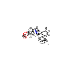 FC(F)(F)c1ccc(-c2cccc3c2[C@H]2CC3CCN2Cc2ccc3c(c2)OCO3)cc1